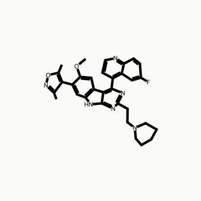 COc1cc2c(cc1-c1c(C)noc1C)[nH]c1nc(CCN3CCCCC3)nc(-c3ccnc4ccc(F)cc34)c12